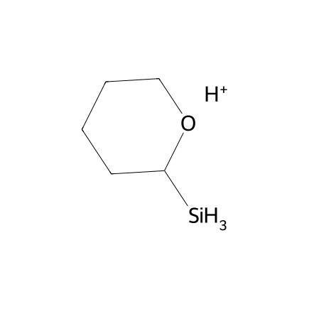 [H+].[SiH3]C1CCCCO1